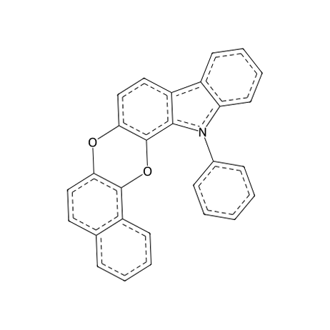 c1ccc(-n2c3ccccc3c3ccc4c(c32)Oc2c(ccc3ccccc23)O4)cc1